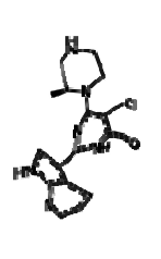 C[C@H]1CNCCN1c1nc(-c2c[nH]c3ncccc23)[nH]c(=O)c1Cl